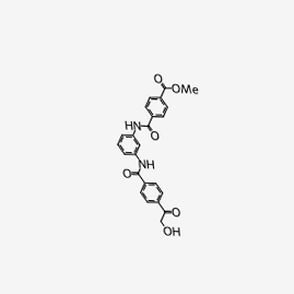 COC(=O)c1ccc(C(=O)Nc2cccc(NC(=O)c3ccc(C(=O)CO)cc3)c2)cc1